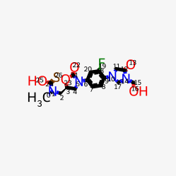 CN(C[C@@H]1CN(c2ccc(N3CC(=O)N(CO)C3)c(F)c2)C(=O)O1)C(O)=S